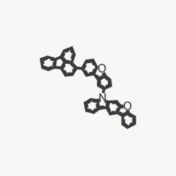 c1ccc2c(c1)-c1cccc3c(-c4ccc5oc6ccc(-n7c8ccccc8c8cc9c(cc87)oc7ccccc79)cc6c5c4)ccc-2c13